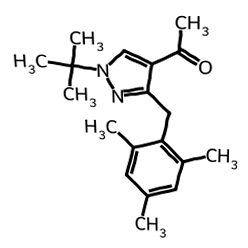 CC(=O)c1cn(C(C)(C)C)nc1Cc1c(C)cc(C)cc1C